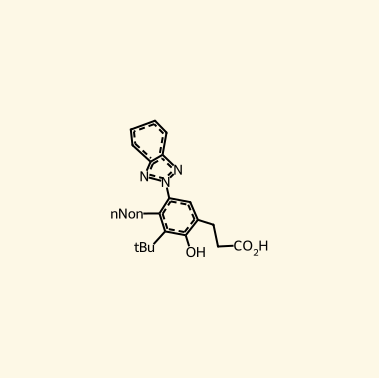 CCCCCCCCCc1c(-n2nc3ccccc3n2)cc(CCC(=O)O)c(O)c1C(C)(C)C